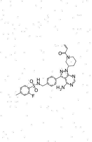 C=CC(=O)N1CCCC(n2nc(-c3ccc(CNS(=O)(=O)c4ccc(C)cc4F)cc3)c3c(N)ncnc32)C1